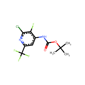 CC(C)(C)OC(=O)Nc1cc(C(F)(F)F)nc(Cl)c1F